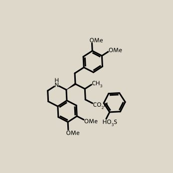 COc1ccc(CC(C(C)CC(=O)O)[C@@H]2NCCc3cc(OC)c(OC)cc32)cc1OC.O=S(=O)(O)c1ccccc1